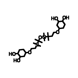 CC(C)(O[Si](C)(C)C(C)(C)CCOC1CCC(O)C(O)C1)[Si](C)(C)CCOC1CCC(O)C(O)C1